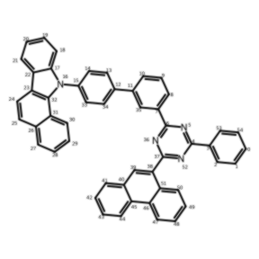 c1ccc(-c2nc(-c3cccc(-c4ccc(-n5c6ccccc6c6ccc7ccccc7c65)cc4)c3)nc(-c3cc4ccccc4c4ccccc34)n2)cc1